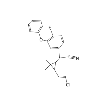 CC1(C)C(C=CCl)C1C(C#N)c1ccc(F)c(Oc2ccccc2)c1